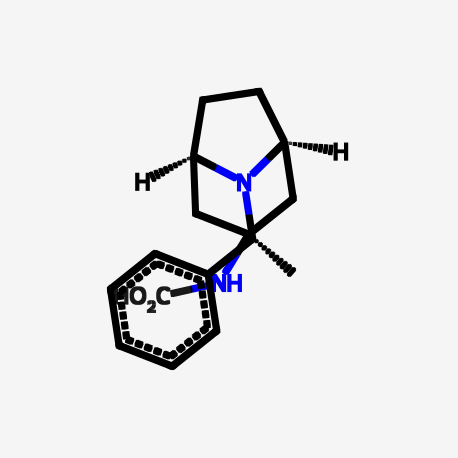 C[C@]1(NC(=O)O)C[C@H]2CC[C@@H](C1)N2Cc1ccccc1